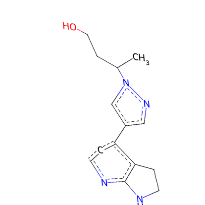 CC(CCO)n1cc(-c2ccnc3c2CCN3)cn1